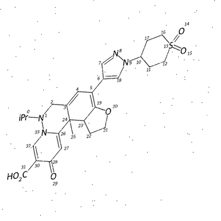 CC(C)N1CC2=CC(c3cnn(C4CCS(=O)(=O)CC4)c3)=C3OCCC3C2(C)c2cc(=O)c(C(=O)O)cn21